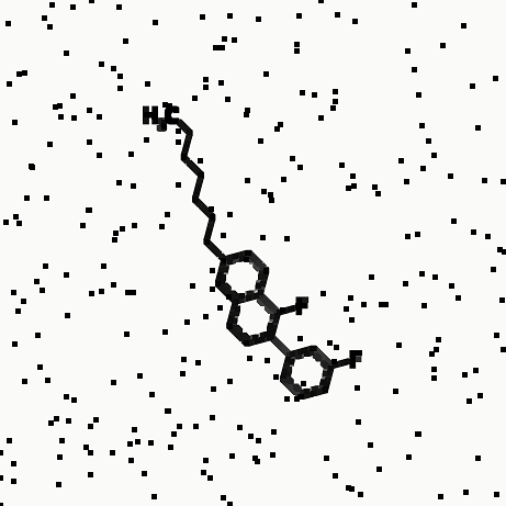 CCCCCCCc1ccc2c(F)c(-c3cccc(F)c3)ccc2c1